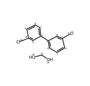 Clc1cccc(-c2cccc(Cl)c2)c1.OCO